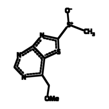 COCc1ncnc2nc([S+](C)[O-])sc12